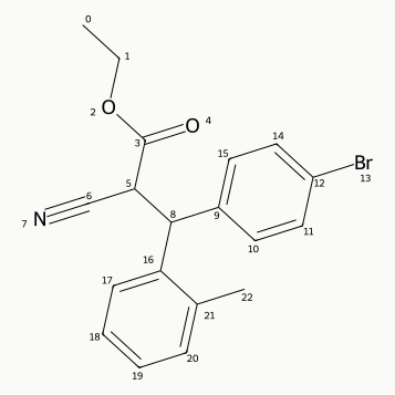 CCOC(=O)C(C#N)C(c1ccc(Br)cc1)c1ccccc1C